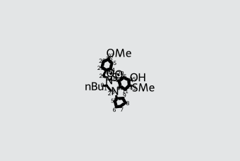 CCCCC1CN(c2ccccc2)c2cc(SC)c(O)cc2S(=O)(=O)N1Cc1ccc(OC)cc1